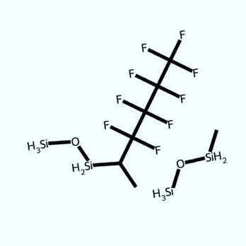 CC([SiH2]O[SiH3])C(F)(F)C(F)(F)C(F)(F)C(F)(F)F.C[SiH2]O[SiH3]